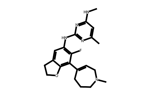 CNc1cc(C)nc(Nc2cc3c(c(C4=CCN(C)CCC4)c2F)OCC3)n1